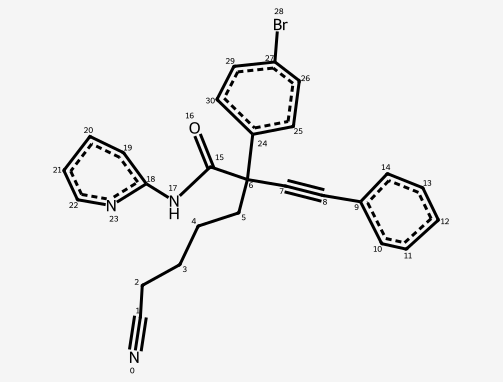 N#CCCCCC(C#Cc1ccccc1)(C(=O)Nc1ccccn1)c1ccc(Br)cc1